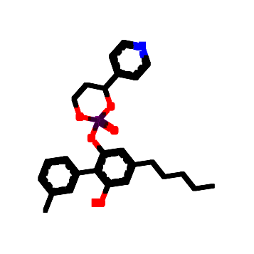 CCCCCc1cc(O)c(-c2cccc(C)c2)c(OP2(=O)OCCC(c3ccncc3)O2)c1